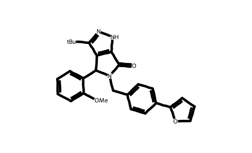 COc1ccccc1C1c2c(C(C)(C)C)n[nH]c2C(=O)N1Cc1ccc(-c2ccco2)cc1